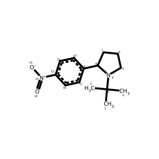 CC(C)(C)N1CCCC1c1ccc([N+](=O)[O-])cc1